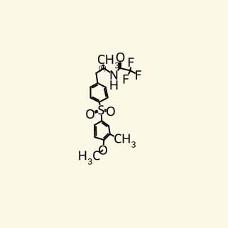 COc1ccc(S(=O)(=O)c2ccc(C[C@@H](C)NC(=O)C(F)(F)F)cc2)cc1C